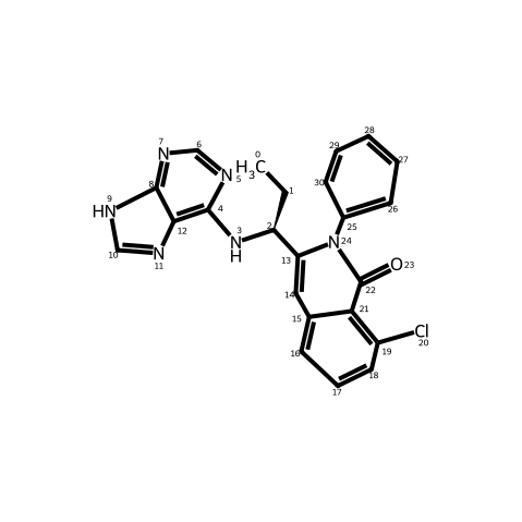 CC[C@H](Nc1ncnc2[nH]cnc12)c1cc2cccc(Cl)c2c(=O)n1-c1ccccc1